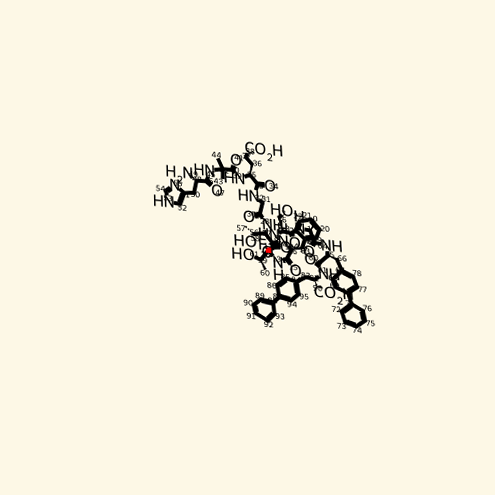 C[C@H](NC(=O)[C@H](CO)NC(=O)[C@@](F)(NC(=O)[C@H](Cc1ccccc1)NC(=O)[C@@H](NC(=O)CNC(=O)[C@H](CCC(=O)O)NC(=O)C(C)(C)NC(=O)[C@@H](N)Cc1c[nH]cn1)[C@@H](C)O)[C@@H](C)O)C(=O)N[C@@H](Cc1ccc(-c2ccccc2)cc1)C(=O)N[C@@H](Cc1ccc(-c2ccccc2)cc1)C(=O)O